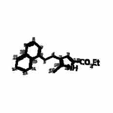 CCOC(=O)c1cc(CCc2cccc3ccccc23)c(C)[nH]1